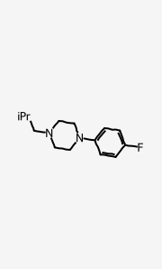 CC(C)CN1CCN(c2ccc(F)cc2)CC1